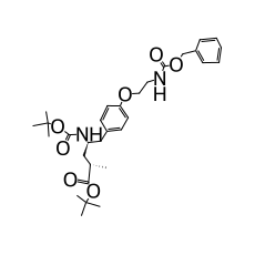 C[C@@H](C[C@H](Cc1ccc(OCCNC(=O)OCc2ccccc2)cc1)NC(=O)OC(C)(C)C)C(=O)OC(C)(C)C